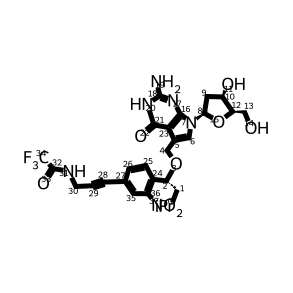 CC(C)C[C@@H](OCc1cn([C@H]2C[C@@H](O)[C@@H](CO)O2)c2nc(N)[nH]c(=O)c12)c1ccc(C#CCNC(=O)C(F)(F)F)cc1[N+](=O)[O-]